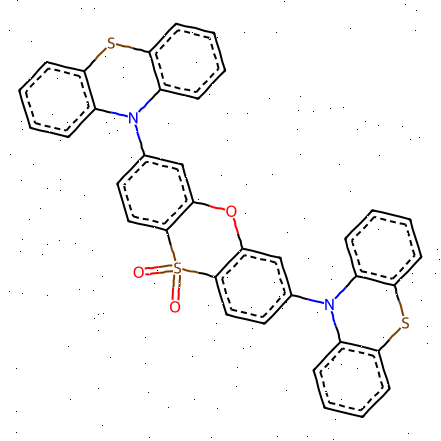 O=S1(=O)c2ccc(N3c4ccccc4Sc4ccccc43)cc2Oc2cc(N3c4ccccc4Sc4ccccc43)ccc21